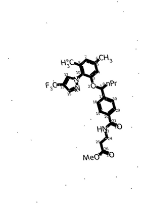 CCCC(Oc1cc(C)cc(C)c1-n1cc(C(F)(F)F)cn1)c1ccc(C(=O)NCCC(=O)OC)cc1